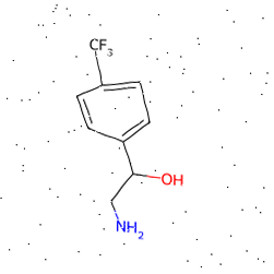 NCC(O)c1ccc(C(F)(F)F)cc1